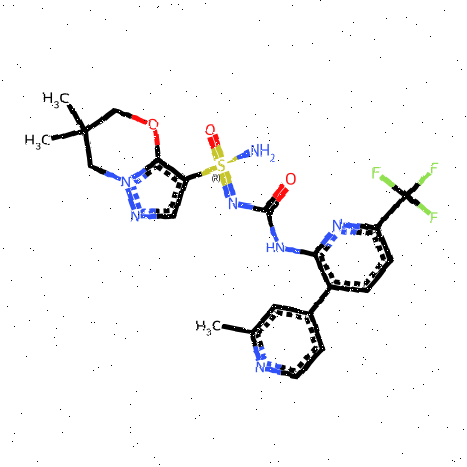 Cc1cc(-c2ccc(C(F)(F)F)nc2NC(=O)N=[S@@](N)(=O)c2cnn3c2OCC(C)(C)C3)ccn1